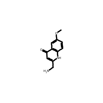 COc1ccc2[nH]c(CN)cc(=O)c2c1